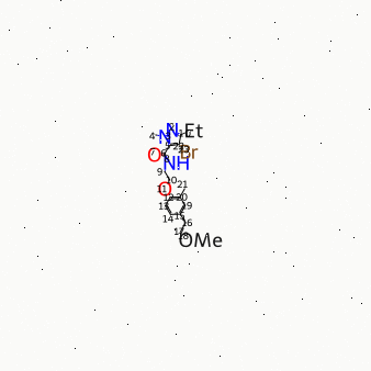 CCc1nn(C)c(C(=O)NCCOc2ccc(CCOC)cc2C)c1Br